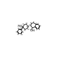 O[C@@H]1c2ccccc2CC[C@H]1N1CCC(O)(c2ccccc2)CC1